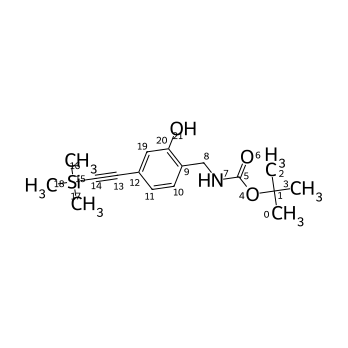 CC(C)(C)OC(=O)NCc1ccc(C#C[Si](C)(C)C)cc1O